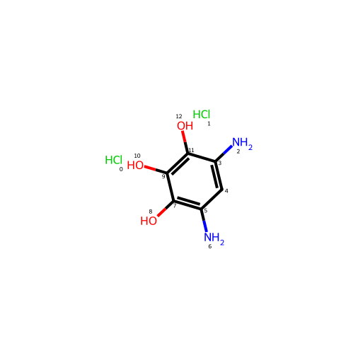 Cl.Cl.Nc1cc(N)c(O)c(O)c1O